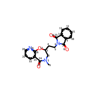 CN1CC(CCN2C(=O)c3ccccc3C2=O)Oc2ncccc2C1=O